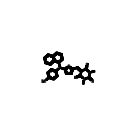 CN1C(=O)C(=Cc2ccc(N(c3ccc(C#N)cc3)c3cccc4ccccc34)s2)C(=O)N(C)C1=S